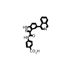 O=C(O)c1ccc(NC(=O)c2n[nH]c3ccc(-c4cncc5ccccc45)cc23)cc1